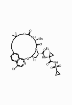 CCc1cnc2c3cc(ccc13)CCCC(C)(C)COC(=O)N[C@@H](C(C)(C)C)C(=O)N1C[C@@H](C[C@H]1C(=O)N[C@]1(C(=O)NS(=O)(=O)C3CC3)C[C@H]1CC)O2